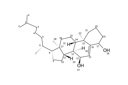 CC(C)CCC[C@@H](C)[C@H]1CC[C@H]2[C@@H]3[C@H](O)C=C4C(O)CCC[C@]4(C)[C@H]3CC[C@]12C